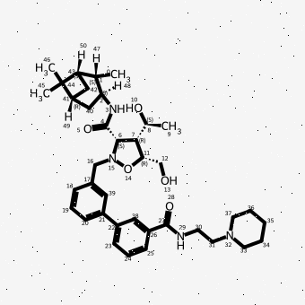 C[C@@H]1[C@@H](NC(=O)[C@@H]2[C@H]([C@H](C)O)[C@H](CO)ON2Cc2cccc(-c3cccc(C(=O)NCCN4CCCCC4)c3)c2)C[C@H]2C[C@@H]1C2(C)C